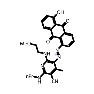 CCCNc1nc(NCCOC)c(/N=N/c2cccc3c2C(=O)c2cccc(O)c2C3=O)c(C)c1C#N